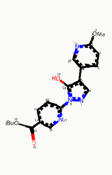 COc1ccc(-c2cnn(-c3ccc(C(=O)OCC(C)C)cn3)c2O)cn1